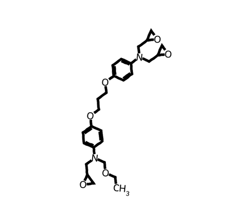 CCOCN(CC1CO1)c1ccc(OCCCOc2ccc(N(CC3CO3)CC3CO3)cc2)cc1